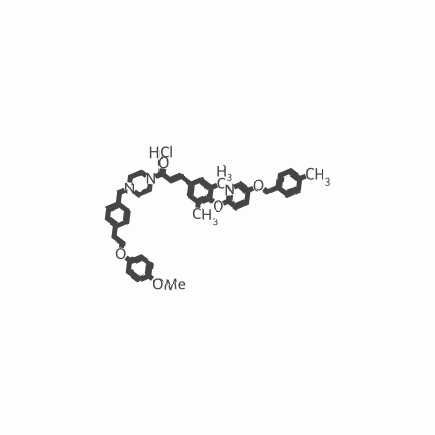 COc1ccc(OCCc2ccc(CN3CCN(C(=O)/C=C/c4cc(C)c(Oc5ccc(OCc6ccc(C)cc6)cn5)c(C)c4)CC3)cc2)cc1.Cl